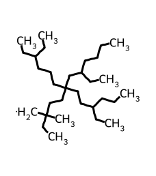 [CH2]C(C)(CC)CCC(CCCC(CC)CC)(CCC(CC)CCC)CC(CC)CCCC